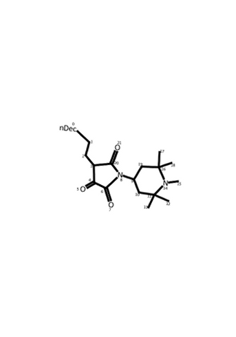 CCCCCCCCCCCCC1C(=O)C(=O)N(C2CC(C)(C)N(C)C(C)(C)C2)C1=O